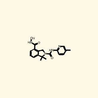 Cc1ccc(NC(=O)N2Cc3c(C(=O)NO)cccc3C2(C)C)nc1